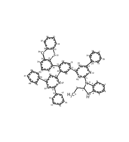 CCC1Nc2ccccc2N1c1nc(-c2ccccc2)nc(-c2ccc(-c3cccc4c3Sc3ccccc3O4)c(-c3cc(-c4ccccc4)nc(-c4ccccc4)n3)c2)n1